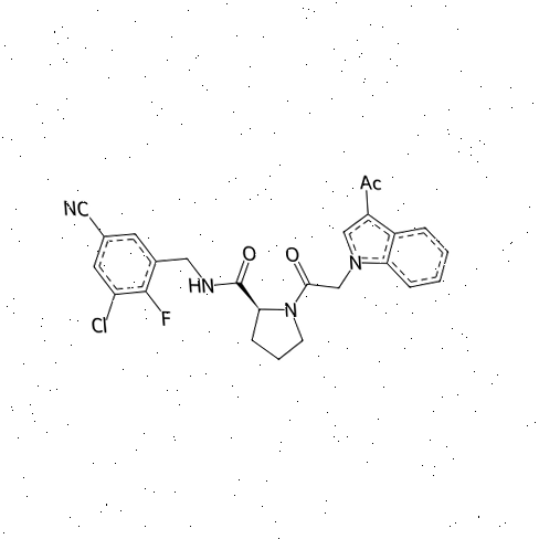 CC(=O)c1cn(CC(=O)N2CCC[C@H]2C(=O)NCc2cc(C#N)cc(Cl)c2F)c2ccccc12